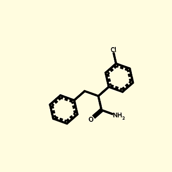 NC(=O)C(Cc1ccccc1)c1cccc(Cl)c1